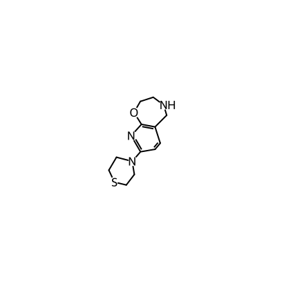 c1cc2c(nc1N1CCSCC1)OCCNC2